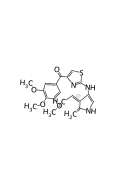 C=c1[nH]cc(Nc2nc(C(=O)c3cc(OC)c(OC)c(OC)c3)cs2)/c1=C/C